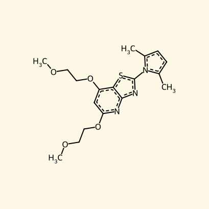 COCCOc1cc(OCCOC)c2sc(-n3c(C)ccc3C)nc2n1